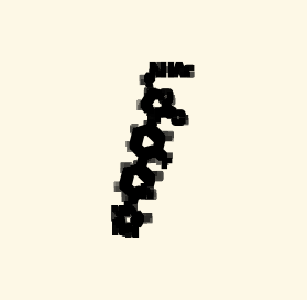 CC(=O)NC[C@H]1CN(c2ccc(-c3ccc(-n4cnnn4)nc3)c(F)c2)C(=O)O1